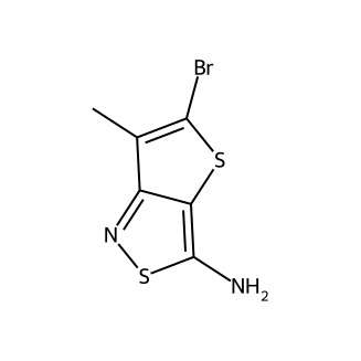 Cc1c(Br)sc2c(N)snc12